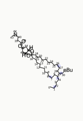 C/C=C\C/C=C\C/C=C\CCCCCCCCC1(CCCCCCCC/C=C\C/C=C\CCCC)O[C@H]2C[C@H](OC(=O)CCN(C)C)C[C@H]2O1